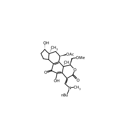 CCCCN(C)C=C1C(=O)O[C@H](COC)[C@@]2(C)C1=C(O)C(=O)C1=C2[C@H](OC(C)=O)C[C@@]2(C)C1CC[C@@H]2O